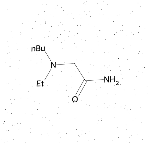 CCCCN(CC)CC(N)=O